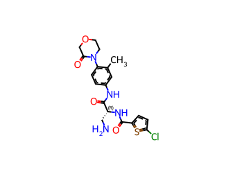 Cc1cc(NC(=O)[C@@H](CN)NC(=O)c2ccc(Cl)s2)ccc1N1CCOCC1=O